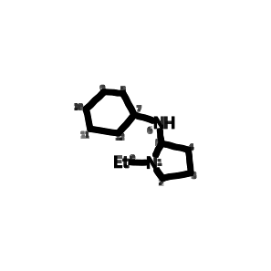 CCN1CCCC1NC1CCCCC1